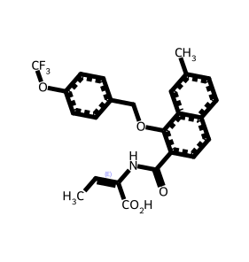 C/C=C(/NC(=O)c1ccc2ccc(C)cc2c1OCc1ccc(OC(F)(F)F)cc1)C(=O)O